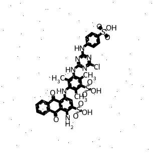 Cc1c(Nc2nc(Cl)nc(Nc3ccc(S(=O)(=O)O)cc3)n2)c(C)c(S(=O)(=O)O)c(C)c1Nc1cc(S(=O)(=O)O)c(N)c2c1C(=O)c1ccccc1C2=O